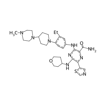 CCc1cc(Nc2nc(NC3CCOCC3)c(-c3cncs3)nc2C(N)=O)ccc1N1CCC(N2CCN(C)CC2)CC1